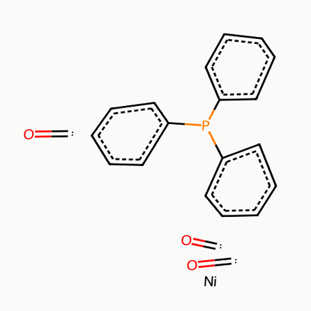 [C]=O.[C]=O.[C]=O.[Ni].c1ccc(P(c2ccccc2)c2ccccc2)cc1